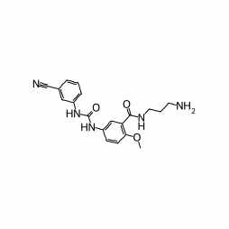 COc1ccc(NC(=O)Nc2cccc(C#N)c2)cc1C(=O)NCCCN